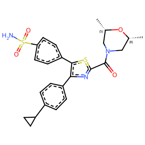 C[C@@H]1CN(C(=O)c2nc(-c3ccc(C4CC4)cc3)c(-c3ccc(S(N)(=O)=O)cc3)s2)C[C@H](C)O1